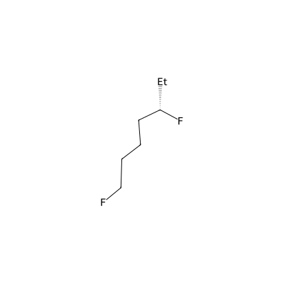 [CH2]C[C@H](F)CCCCF